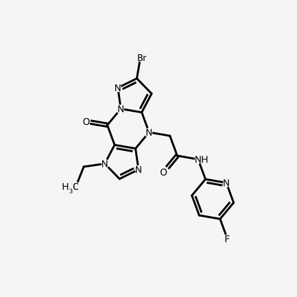 CCn1cnc2c1c(=O)n1nc(Br)cc1n2CC(=O)Nc1ccc(F)cn1